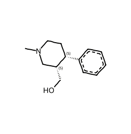 CN1CC[C@H](c2ccccc2)[C@H](CO)C1